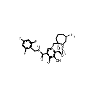 C[C@@H]1CCC[C@@](C)(Cn2cc(C(=O)NCc3c(F)cc(F)cc3F)c(=O)c(O)c2C=O)N(C)C1